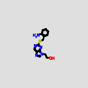 Nc1ccccc1CSc1ncc2ncn(CCO)c2n1